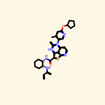 C=CC(=C)N[C@H]1CCCC[C@H]1NC(=O)c1sc2nccc3c2c1[nH]c(=C)n3-c1cnc(OC2CCCC2)cc1C